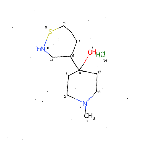 CN1CCC(O)(C2CCSNC2)CC1.Cl